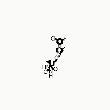 C[C@H]1CN(COCCCC2(C3CC3)NC(=O)NC2=O)CCN1c1cc(F)cc(Cl)c1